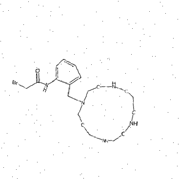 O=C(CBr)Nc1ccccc1CN1CCCNCCNCCCNCC1